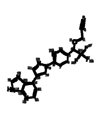 N#CCOC(c1ccc(-n2cc(-c3ccnc4[nH]cnc34)cn2)nc1)C(F)(F)F